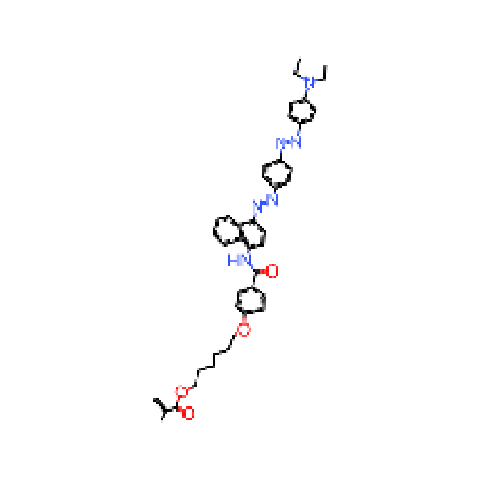 C=C(C)C(=O)OCCCCCCOc1ccc(C(=O)Nc2ccc(N=Nc3ccc(N=Nc4ccc(N(CC)CC)cc4)cc3)c3ccccc23)cc1